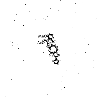 COc1ccnc(C(=O)N[C@H]2COCC[C@@H](OC(=O)C3CCCC3)[C@H](C)OC2=O)c1OCOC(C)=O